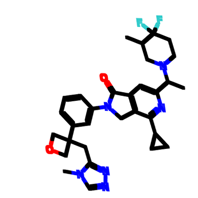 CC(c1cc2c(c(C3CC3)n1)CN(c1cccc(C3(Cc4nncn4C)COC3)c1)C2=O)N1CCC(F)(F)C(C)C1